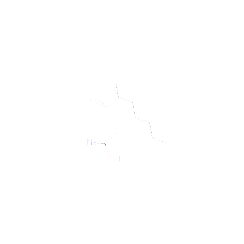 CCCCCC(C)C=O.NC(=O)O